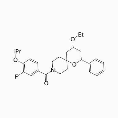 CCOC1CC(c2ccccc2)OC2(CCN(C(=O)c3ccc(OC(C)C)c(F)c3)CC2)C1